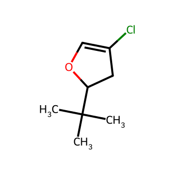 CC(C)(C)C1CC(Cl)=CO1